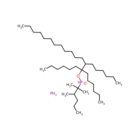 CCCCCCCCCCCCC(CCCCCC)C(CCCCCC)(CCCCCC)O[PH](=O)C(C)(C)C(C)CCC.P